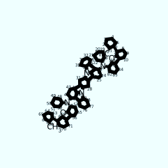 Cc1ccccc1-c1cccc2c1oc1c(N(c3ccccc3)c3ccc4c5cc6c(cc5n5c7ccccc7c3c45)c3ccc(N(c4ccccc4)c4cccc5c4oc4c(-c7ccccc7C)cccc45)c4c5ccccc5n6c34)cccc12